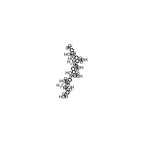 Cc1nn(-c2cc(S(=O)(=O)O)ccc2Cl)c(O)c1N=Nc1ccc(N=Nc2c(S(=O)(=O)O)cc3c(S(=O)(=O)O)c(N=Nc4cc(S(=O)(=O)O)c5ccc(N=Nc6ccc([N+](=O)[O-])cc6C(=O)O)c(O)c5c4N)ccc3c2O)cc1S(=O)(=O)O